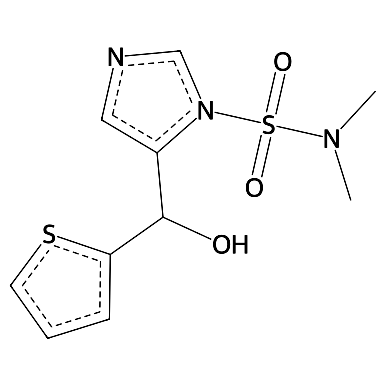 CN(C)S(=O)(=O)n1cncc1C(O)c1cccs1